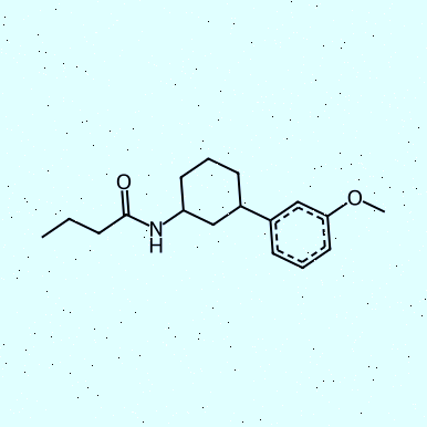 CCCC(=O)NC1CCCC(c2cccc(OC)c2)C1